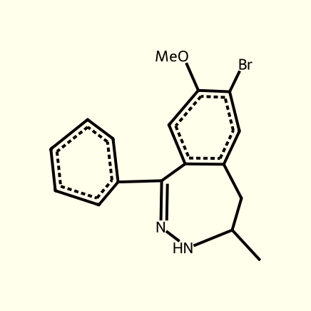 COc1cc2c(cc1Br)CC(C)NN=C2c1ccccc1